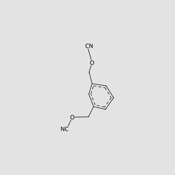 N#COCc1cccc(COC#N)c1